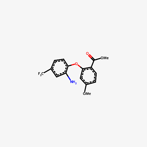 COC(=O)c1ccc(OC)cc1Oc1ccc(C(F)(F)F)cc1N